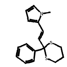 Cn1cccc1C=CC1(c2ccccc2)SCCCS1